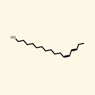 CC/C=C/C=C\CCCCCCCCCCO